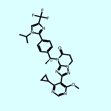 COc1ncnc(C2CC2)c1-c1nc2n(n1)CCC(=O)N2[C@@H](C)c1ccc(-c2nc(C(F)(F)F)cn2C(C)C)cc1